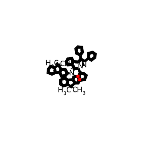 CC1(C)c2ccccc2-c2ccc(N(c3cccc4c3-c3ccccc3C4(C)C)c3c(-c4ccccc4)n4nc(-c5ccccc5)c(-c5ccccc5)c4c4ccccc34)cc21